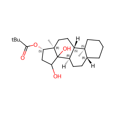 CC(C)(C)C(=O)O[C@H]1CC(O)C2(O)[C@@H]3CC[C@H]4CCCC[C@]4(C)[C@H]3CC[C@]12C